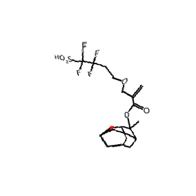 C=C(COCCC(F)(F)C(F)(F)S(=O)(=O)O)C(=O)OC1(C)C2CC3CC(C2)CC1C3